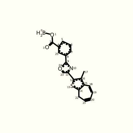 BOC(=O)c1cccc(-c2nc(-c3sc4c(c3C)C=CC#CC4)co2)c1